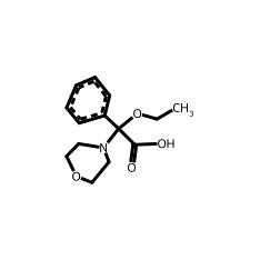 CCOC(C(=O)O)(c1ccccc1)N1CCOCC1